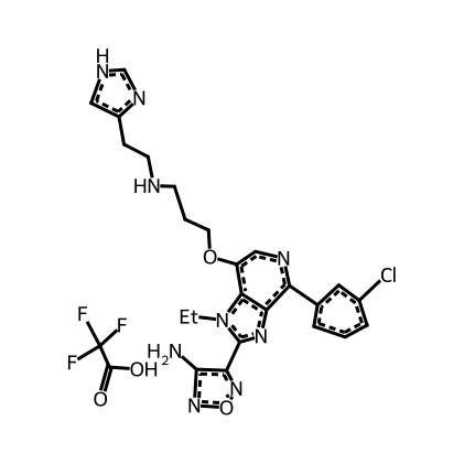 CCn1c(-c2nonc2N)nc2c(-c3cccc(Cl)c3)ncc(OCCCNCCc3c[nH]cn3)c21.O=C(O)C(F)(F)F